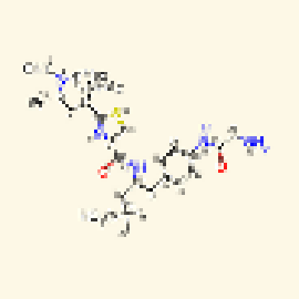 CCCCCCN(C=O)[C@H](C[C@@H](NC(C)=O)c1nc(C(=O)N[C@@H](Cc2ccc(NC(=O)CN)cc2)CC(C)(C)C(=O)O)cs1)C(C)C